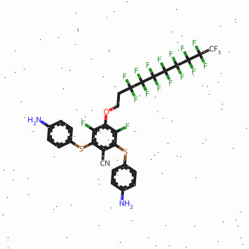 N#Cc1c(Sc2ccc(N)cc2)c(F)c(OCCC(F)(F)C(F)(F)C(F)(F)C(F)(F)C(F)(F)C(F)(F)C(F)(F)C(F)(F)F)c(F)c1Sc1ccc(N)cc1